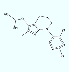 CCCC(CCC)Oc1c2c(nn1C)N(c1ccc(Cl)cc1Cl)CCC2